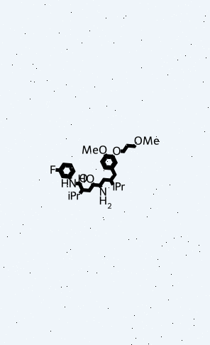 COCCCOc1cc(CC(CC(N)C(O)CC(C(=O)Nc2cccc(F)c2)C(C)C)C(C)C)ccc1OC